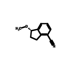 CO[C@H]1CCc2c(C#N)cccc21